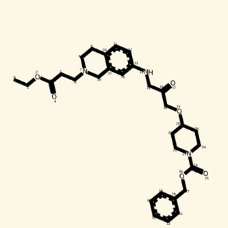 CCOC(=O)CCN1CCc2ccc(NCC(=O)COC3CCN(C(=O)OCc4ccccc4)CC3)cc2C1